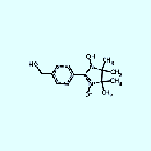 CC1(C)N(O)C(c2ccc(CO)cc2)=[N+]([O-])C1(C)C